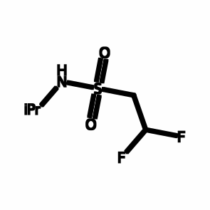 CC(C)NS(=O)(=O)CC(F)F